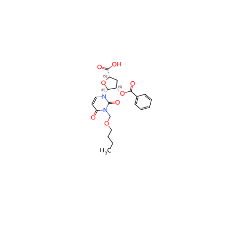 CCCCOCn1c(=O)ccn([C@@H]2O[C@H](C(=O)O)C[C@@H]2OC(=O)c2ccccc2)c1=O